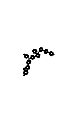 Cc1ccc(-c2ccc(-c3cccc(-n4c5ccccc5c5c(-c6ccc(N(c7ccc(C)cc7)c7ccc(-c8ccc9c(c8)C(C)(C)c8cc(C)ccc8-9)cc7)cc6)cccc54)c3)cc2)cc1